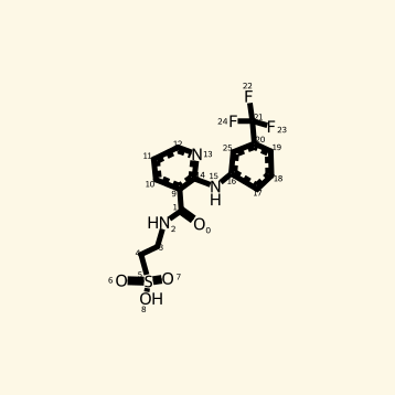 O=C(NCCS(=O)(=O)O)c1cccnc1Nc1cccc(C(F)(F)F)c1